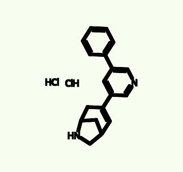 C1=C(c2cncc(-c3ccccc3)c2)CC2CC1CN2.Cl.Cl